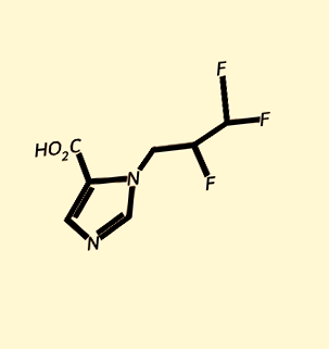 O=C(O)c1cncn1CC(F)C(F)F